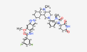 COc1cc2nn([C@H]3CC[C@H](CN(C)C4CCN(c5cccc6c5n(C)c(=O)n6C5CCC(=O)NC5=O)CC4)CC3)cc2cc1NC(=O)c1cc(F)cc(F)c1